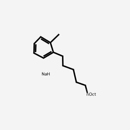 CCCCCCCCCCCCCc1ccccc1C.[NaH]